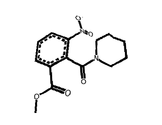 COC(=O)c1cccc([N+](=O)[O-])c1C(=O)N1CCCCC1